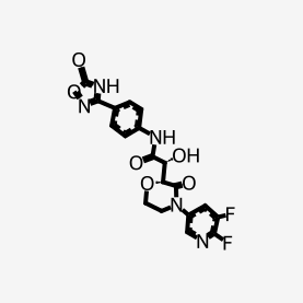 O=C(Nc1ccc(-c2noc(=O)[nH]2)cc1)[C@H](O)[C@H]1OCCN(c2cnc(F)c(F)c2)C1=O